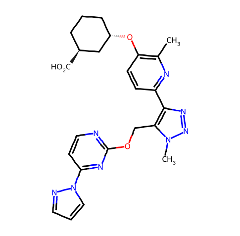 Cc1nc(-c2nnn(C)c2COc2nccc(-n3cccn3)n2)ccc1O[C@H]1CCC[C@H](C(=O)O)C1